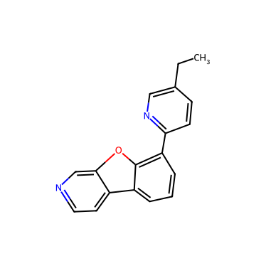 CCc1ccc(-c2cccc3c2oc2cnccc23)nc1